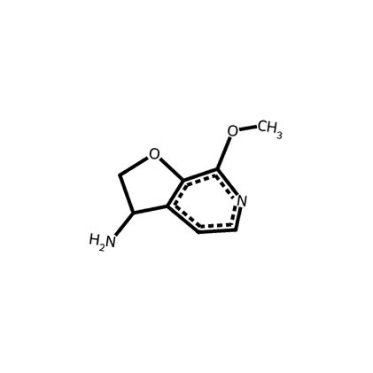 COc1nccc2c1OCC2N